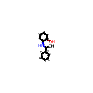 N#CC(Nc1ccccc1O)c1ccccc1